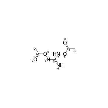 CC(=O)O[N]C(=N)NOC(C)=O